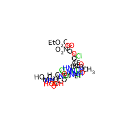 CC1COc2ccccc2N1C(=O)C(Cl)Cl.CCNc1nc(Cl)nc(NC(C)(C)C)n1.CCOC(=O)COC(=O)c1cc(Oc2ccc(C(F)(F)F)cc2Cl)ccc1[N+](=O)[O-].CCc1cccc(C)c1N(C(=O)CCl)C(C)COC.O=C(O)CNCP(=O)(O)O